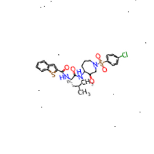 CC(C)C[C@H](NC(=O)c1cc2ccccc2s1)C(=O)NC1CCCN(S(=O)(=O)c2ccc(Cl)cc2)CC1=O